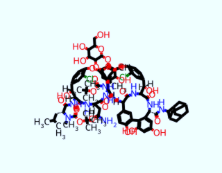 CC(C)C[C@H](C(=O)N[C@H]1C(=O)N[C@@H](CC(N)=O)C(=O)N[C@H]2C(=O)N[C@H]3C(=O)N[C@H](C(=O)N[C@H](C(=O)NC4C5CC6CC(C5)CC4C6)c4cc(O)cc(O)c4-c4cc3ccc4O)[C@H](O)c3ccc(c(Cl)c3)Oc3cc2cc(c3OC2OC(CO)C(O)C(O)C2OC2CC(C)(NC(=O)OC(C)(C)C)C(O)C(C)O2)Oc2ccc(cc2Cl)[C@H]1O)N(C)C(=O)OC(C)(C)C